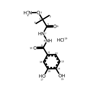 CC(C)(ON)C(=O)NNC(=O)c1ccc(O)c(O)c1.Cl